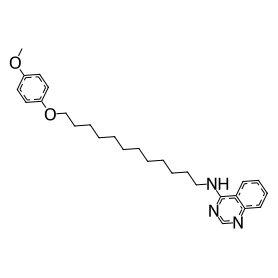 COc1ccc(OCCCCCCCCCCCCNc2ncnc3ccccc23)cc1